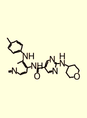 C=N/C=C\C(NC(=O)c1cnc(NC2CCOCC2)nc1)=C(/C)Nc1ccc(C)cc1